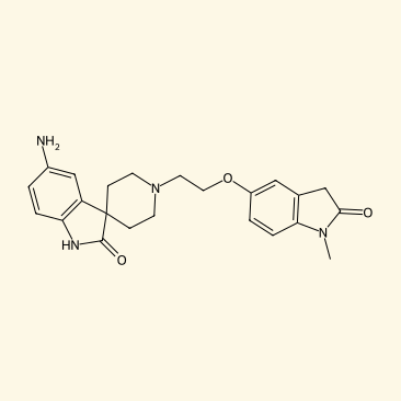 CN1C(=O)Cc2cc(OCCN3CCC4(CC3)C(=O)Nc3ccc(N)cc34)ccc21